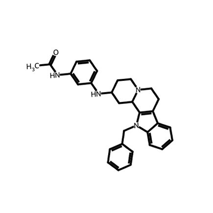 CC(=O)Nc1cccc(NC2CCN3CCc4c(n(Cc5ccccc5)c5ccccc45)C3C2)c1